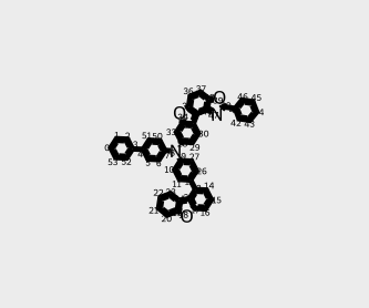 c1ccc(-c2ccc(N(c3ccc(-c4cccc5oc6ccccc6c45)cc3)c3ccc4c(c3)oc3ccc5oc(-c6ccccc6)nc5c34)cc2)cc1